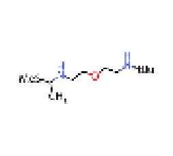 CSC(C)NCCOCCNC(C)(C)C